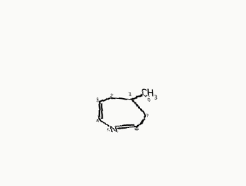 CC1CC=CN=CC1